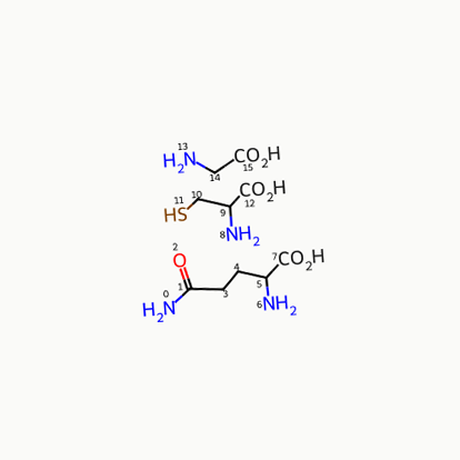 NC(=O)CCC(N)C(=O)O.NC(CS)C(=O)O.NCC(=O)O